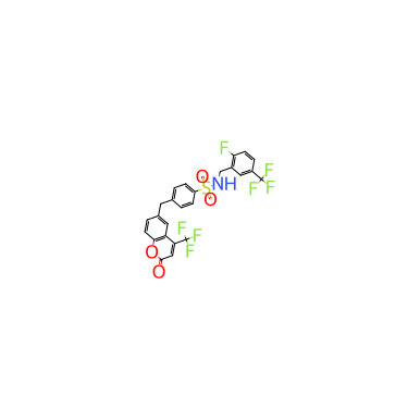 O=c1cc(C(F)(F)F)c2cc(Cc3ccc(S(=O)(=O)NCc4cc(C(F)(F)F)ccc4F)cc3)ccc2o1